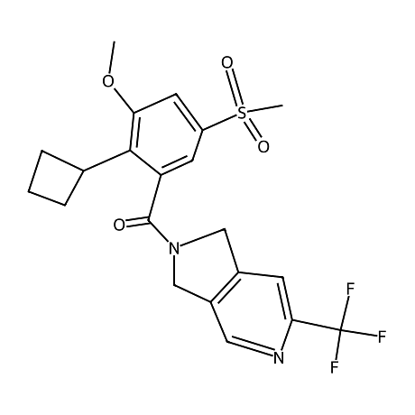 COc1cc(S(C)(=O)=O)cc(C(=O)N2Cc3cnc(C(F)(F)F)cc3C2)c1C1CCC1